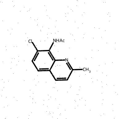 CC(=O)Nc1c(Cl)ccc2ccc(C)nc12